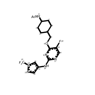 CC(=O)NC1CCC(COc2nc(Nc3cnn(C(F)(F)F)c3)ncc2F)CC1